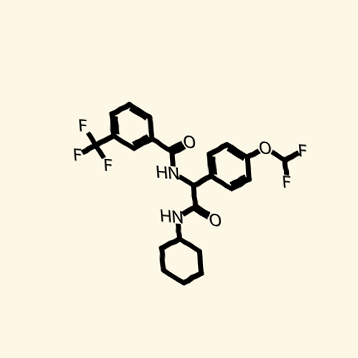 O=C(NC(C(=O)NC1CCCCC1)c1ccc(OC(F)F)cc1)c1cccc(C(F)(F)F)c1